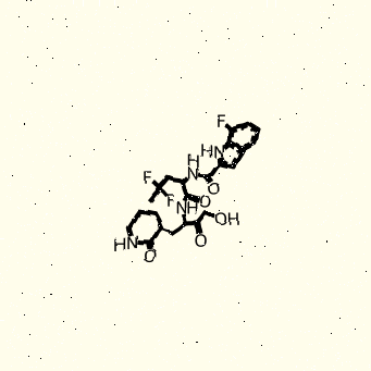 CC(F)(F)CC(NC(=O)c1cc2cccc(F)c2[nH]1)C(=O)NC(C[C@@H]1CCCNC1=O)C(=O)CO